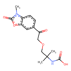 Cn1c(=O)oc2cc(C(=O)COCC(C)(C)NC(=O)O)ccc21